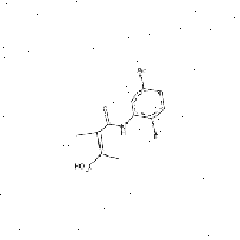 CC(=O)c1ccc(F)c(NC(=O)C(C)=C(C)C(=O)O)c1